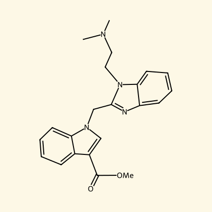 COC(=O)c1cn(Cc2nc3ccccc3n2CCN(C)C)c2ccccc12